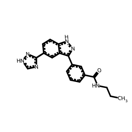 CCCNC(=O)c1cccc(-c2n[nH]c3ccc(-c4nc[nH]n4)cc23)c1